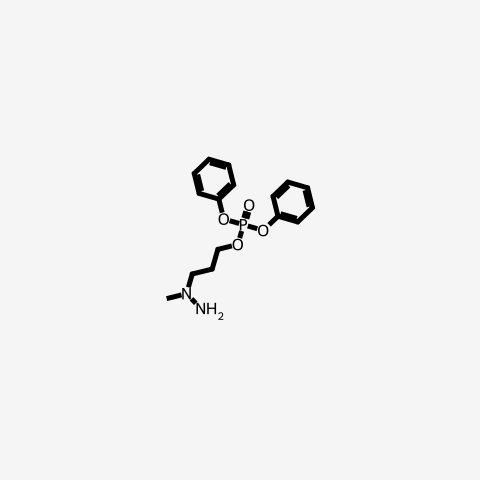 CN(N)CCCOP(=O)(Oc1ccccc1)Oc1ccccc1